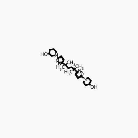 CC(C)(CCC(C)(C)c1ccc(N2CCCC(O)C2)nn1)c1ccc(N2CCC(O)CC2)nn1